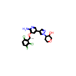 C[C@@H](Oc1cc(-c2cnn(C3CCOCC3O)c2)cnc1N)c1c(Cl)ccc(F)c1Cl